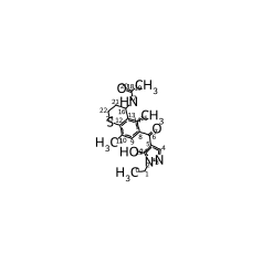 CCn1ncc(C(=O)c2cc(C)c3c(c2C)C(NC(C)=O)CCS3)c1O